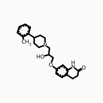 Cc1ccccc1C1CCN(CC(O)COc2ccc3c(c2)NC(=O)CC3)CC1